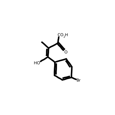 CC(C(=O)C(=O)O)=C(O)c1ccc(Br)cc1